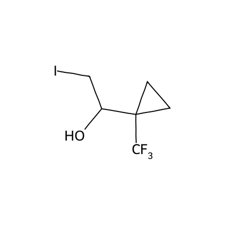 OC(CI)C1(C(F)(F)F)CC1